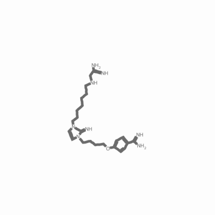 N=C(N)CNCCCCCCCn1ccn(CCCCOc2ccc(C(=N)N)cc2)c1=N